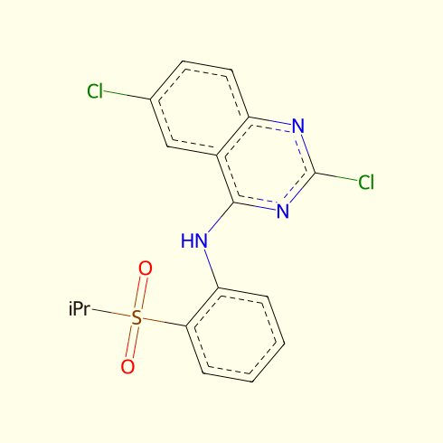 CC(C)S(=O)(=O)c1ccccc1Nc1nc(Cl)nc2ccc(Cl)cc12